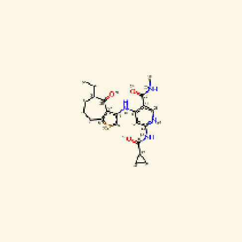 CCC1CCCc2scc(Nc3cc(NC(=O)C4CC4)ncc3C(=O)NC)c2C1=O